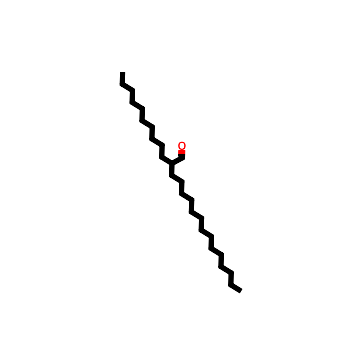 CCCCCCCCCCCCCCC(C=O)CCCCCCCCCC